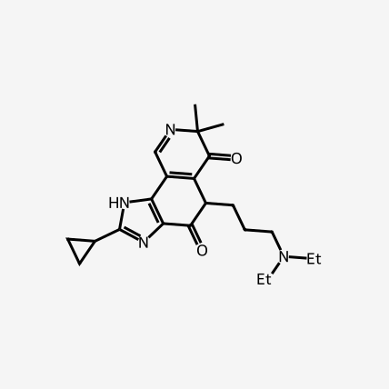 CCN(CC)CCCC1C(=O)c2nc(C3CC3)[nH]c2C2=C1C(=O)C(C)(C)N=C2